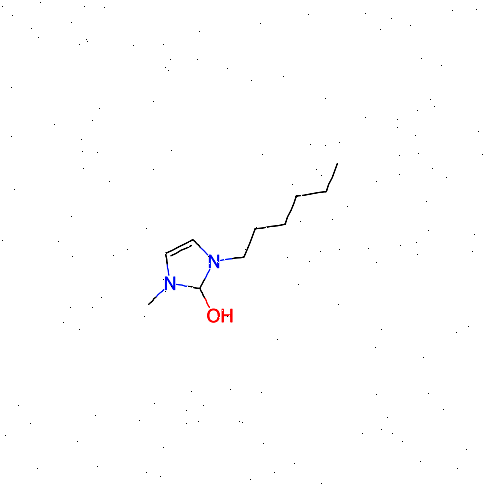 CCCCCCN1C=CN(C)C1O